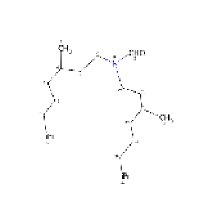 CC(C)CCCC(C)CCN([C]=O)CCC(C)CCCC(C)C